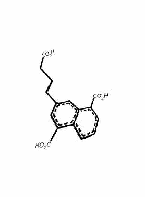 O=C(O)CCCc1cc(C(=O)O)c2cccc(C(=O)O)c2c1